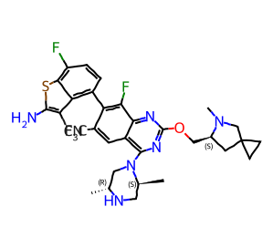 C[C@@H]1CN(c2nc(OC[C@@H]3CC4(CC4)CN3C)nc3c(F)c(-c4ccc(F)c5sc(N)c(C#N)c45)c(C(F)(F)F)cc23)[C@@H](C)CN1